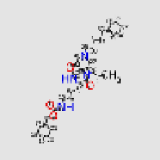 CCCN1C(=O)C(CCCCNC(=O)OCc2ccccc2)NC(=O)C12CCN(CCCCCc1ccccc1)CC2